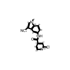 Cn1cc(C#N)c2cc(NC(=O)c3ccnc(Cl)c3)ccc21